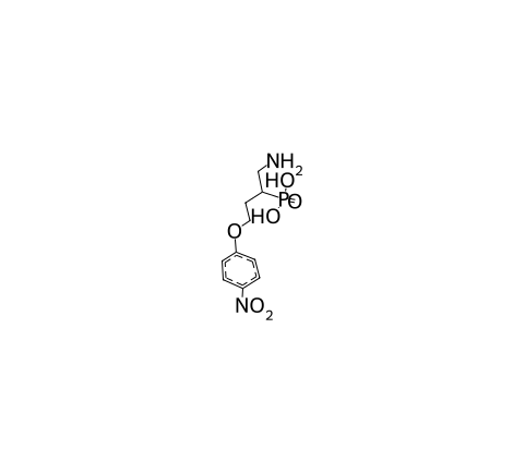 NCC(CCOc1ccc([N+](=O)[O-])cc1)P(=O)(O)O